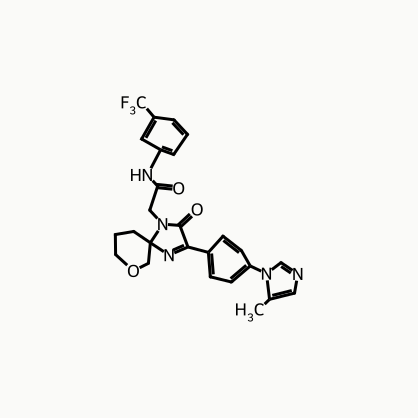 Cc1cncn1-c1ccc(C2=NC3(CCCOC3)N(CC(=O)Nc3cccc(C(F)(F)F)c3)C2=O)cc1